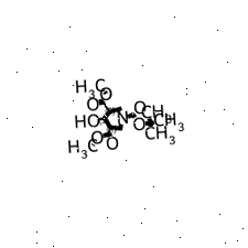 COC(=O)[C@H]1CN(C(=O)OC(C)(C)C)C[C@@H](C(=O)OC)[C@H]1O